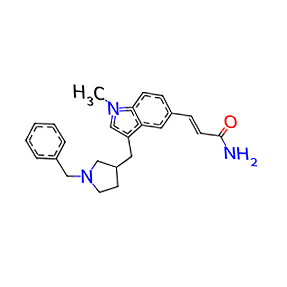 Cn1cc(CC2CCN(Cc3ccccc3)C2)c2cc(C=CC(N)=O)ccc21